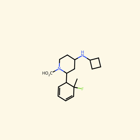 CC1(F)C=CC=CC1C1CC(NC2CCC2)CCN1C(=O)O